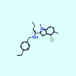 CC/C=C(/NCc1ccc(CC)cc1)c1cc2c(Cl)c(C)ccc2n1C